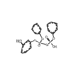 O=P(O)(Oc1ccccc1)OP(=O)(Oc1ccccc1)Oc1cccc(O)c1